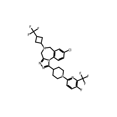 Fc1ccc(N2CCC(c3nnc4n3-c3ccc(Cl)cc3CN(C3CC(C(F)(F)F)C3)C4)CC2)nc1C(F)(F)F